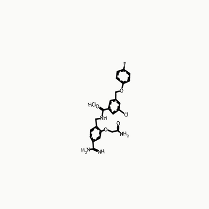 Cl.N=C(N)c1ccc(CNC(=O)c2cc(Cl)cc(COc3ccc(F)cc3)c2)c(OCC(N)=O)c1